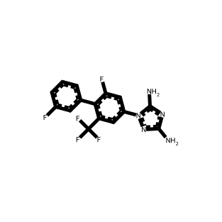 Nc1nc(N)n(-c2cc(F)c(-c3cccc(F)c3)c(C(F)(F)F)c2)n1